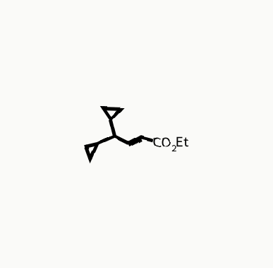 CCOC(=O)/C=C/C(C1CC1)C1CC1